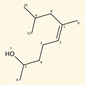 CC(=CCCC(C)O)CC(C)C